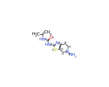 CC(C)NC(=O)Nc1nc2c(s1)CN(N)CC2